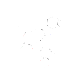 COC(=O)[C@@H]1Cc2c([nH]c3cc(F)ccc23)[C@H](c2ccc3c(c2)OCO3)N1C(=O)CCl